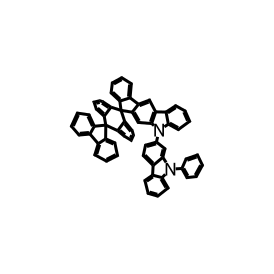 c1ccc(-n2c3ccccc3c3ccc(-n4c5ccccc5c5cc6c(cc54)C4(c5ccccc5-6)c5ccccc5C5(c6ccccc6-c6ccccc65)c5ccccc54)cc32)cc1